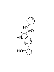 O=C(NC1CCNCC1)c1n[nH]c2nc(N3CCC[C@H]3O)ccc12